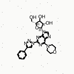 OC[C@H]1O[C@@H](n2cnc3c(N4CCOCC4)nc(-n4cc(-c5ccccc5)nn4)nc32)[C@@H](O)C1O